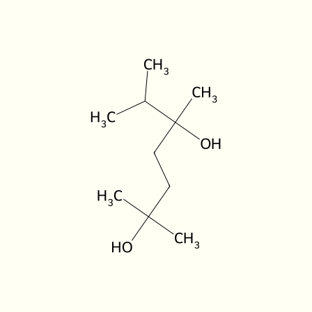 CC(C)C(C)(O)CCC(C)(C)O